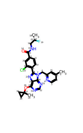 Cc1ccnc(Cn2c(-c3ccc(C(=O)NC[C@H](C)F)cc3Cl)nc3c(OC4(C)CC4)ncnc32)c1